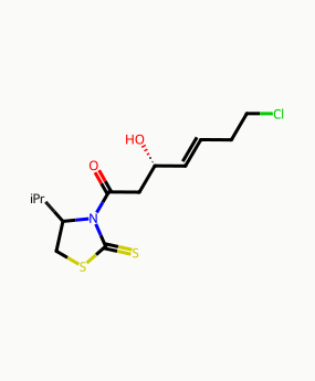 CC(C)C1CSC(=S)N1C(=O)C[C@H](O)/C=C/CCCl